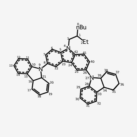 CCCCC(CC)Cn1c2ccc(N3c4ccccc4C4C=CC=CC43)cc2c2cc(N3c4ccccc4C4CCC=CC43)ccc21